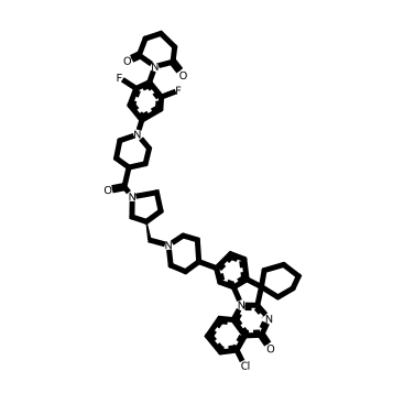 O=C(C1CCN(c2cc(F)c(N3C(=O)CCCC3=O)c(F)c2)CC1)N1CC[C@@H](CN2CCC(c3ccc4c(c3)-n3c(nc(=O)c5c(Cl)cccc53)C43CCCCC3)CC2)C1